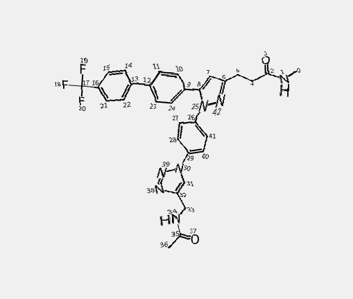 CNC(=O)CCc1cc(-c2ccc(-c3ccc(C(F)(F)F)cc3)cc2)n(-c2ccc(-n3cc(CNC(C)=O)nn3)cc2)n1